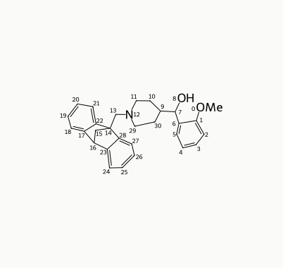 COc1ccccc1C(O)C1CCN(CC23CC(c4ccccc42)c2ccccc23)CC1